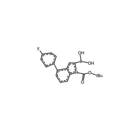 CC(C)(C)OC(=O)n1c(B(O)O)cc2c(-c3ccc(F)cc3)cccc21